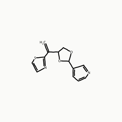 C=C(c1nccs1)C1COC(c2cccnc2)O1